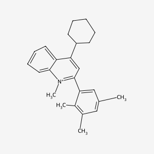 Cc1cc(C)c(C)c(-c2cc(C3CCCCC3)c3ccccc3[n+]2C)c1